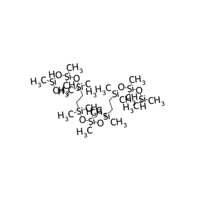 C[SiH](C)O[Si](C)(C)O[Si](C)(C)CC[Si](C)(C)O[Si](C)(C)O[Si](C)(C)CC[Si](C)(C)O[Si](C)(C)O[SiH](C)C